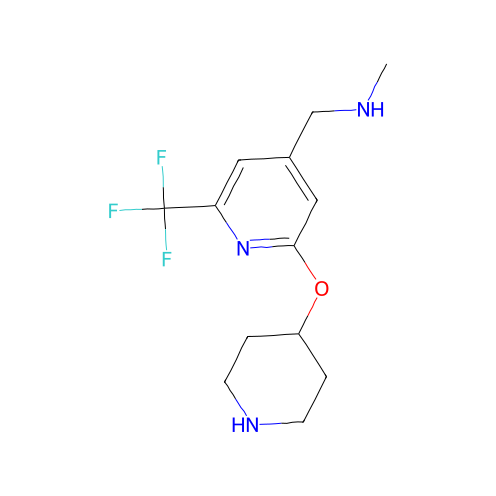 CNCc1cc(OC2CCNCC2)nc(C(F)(F)F)c1